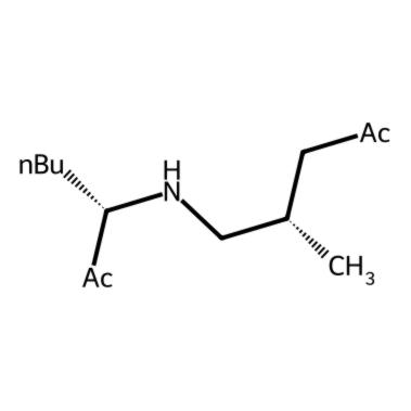 CCCC[C@H](NC[C@@H](C)CC(C)=O)C(C)=O